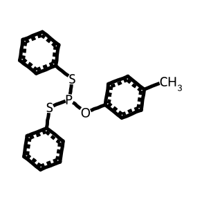 Cc1ccc(OP(Sc2ccccc2)Sc2ccccc2)cc1